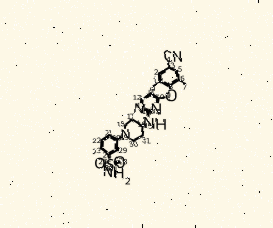 Cc1cc(C#N)cc(C)c1Oc1ccnc(NC2CCN(c3cccc(S(N)(=O)=O)c3)CC2)n1